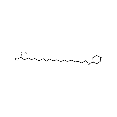 CCC([C]=O)CCCCCCCCCCCCCCCCCCOC1CC[CH]CC1